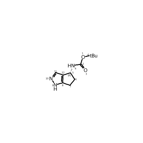 CC(C)(C)OC(=O)N[C@@H]1CCc2[nH]ncc21